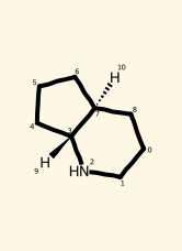 C1CN[C@@H]2CCC[C@H]2C1